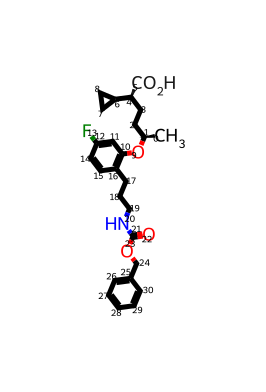 C[C@H](CC[C@H](C(=O)O)C1CC1)Oc1cc(F)ccc1CCCNC(=O)OCc1ccccc1